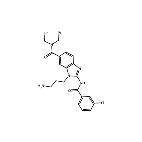 CC(C)CN(CC(C)C)C(=O)c1ccc2nc(NC(=O)c3cccc(Cl)c3)n(CCCN)c2c1